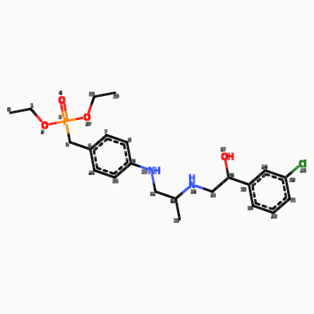 CCOP(=O)(Cc1ccc(NCC(C)NCC(O)c2cccc(Cl)c2)cc1)OCC